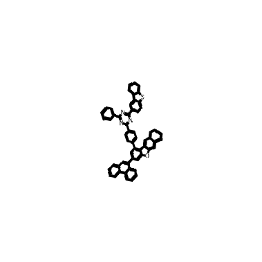 c1ccc(-c2nc(-c3ccc(-c4cc(-c5cc6ccccc6c6ccccc56)cc5oc6cc7ccccc7cc6c45)cc3)nc(-c3ccc4sc5ccccc5c4c3)n2)cc1